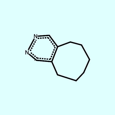 [c]1nncc2c1CCCCCC2